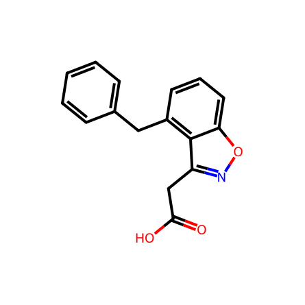 O=C(O)Cc1noc2cccc(Cc3ccccc3)c12